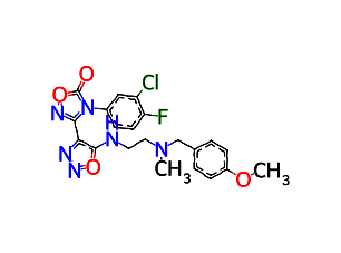 COc1ccc(CN(C)CCNc2onnc2-c2noc(=O)n2-c2ccc(F)c(Cl)c2)cc1